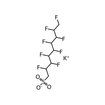 O=S(=O)([O-])CC(F)C(F)C(F)C(F)C(F)C(F)C(F)CF.[K+]